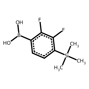 C[Si](C)(C)c1ccc(B(O)O)c(F)c1F